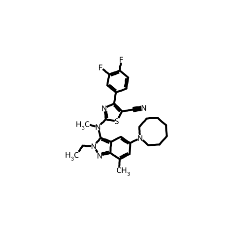 CCn1nc2c(C)cc(N3CCCCCCC3)cc2c1N(C)c1nc(-c2ccc(F)c(F)c2)c(C#N)s1